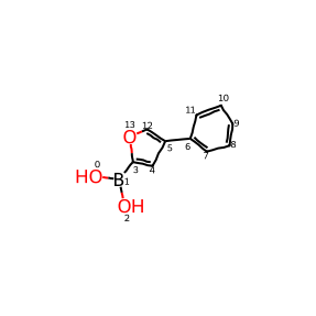 OB(O)c1cc(-c2ccccc2)co1